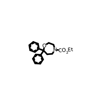 CCOC(=O)N1CCOC(c2ccccc2)(c2ccccc2)CC1